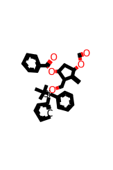 C=C1C(OC=O)CC(OC(=O)c2ccccc2)C1CO[Si](c1ccccc1)(c1ccccc1)C(C)(C)C